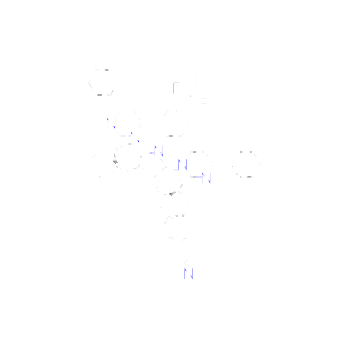 N#Cc1ccc(-c2ccc3c(c2)c2ccccc2n3-c2c(-c3cc(-c4ccccc4)nc(-c4ccccc4)n3)cc(C(F)(F)F)cc2-c2cc(-c3ccccc3)nc(-c3ccccc3)n2)cc1